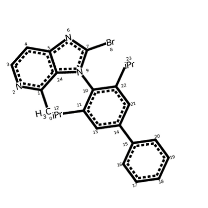 Cc1nccc2nc(Br)n(-c3c(C(C)C)cc(-c4ccccc4)cc3C(C)C)c12